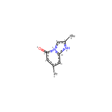 CC(C)c1cc(=O)n2cc(C(C)(C)C)[nH]c2c1